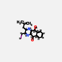 CC(C)Cc1nc2c(nc1CI)C(=O)c1ccccc1C2=O